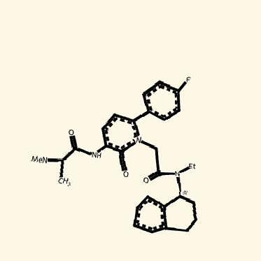 CCN(C(=O)Cn1c(-c2ccc(F)cc2)ccc(NC(=O)C(C)NC)c1=O)[C@H]1CCCc2ccccc21